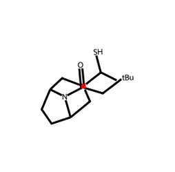 CC(S)N1CC2CCC(C1)N2C(=O)CC(C)(C)C